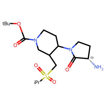 CC(C)S(=O)(=O)CC1CN(C(=O)OC(C)(C)C)CCC1N1CC[C@H](N)C1=O